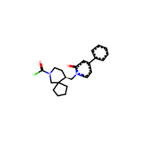 O=C(Cl)N1CC[C@@H](Cn2ccc(-c3ccccc3)cc2=O)C2(CCCC2)C1